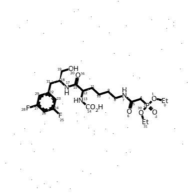 CCOP(=O)(CC(=O)NCCCCC(NC(=O)O)C(=O)N[C@H](CO)Cc1cc(F)cc(F)c1)OCC